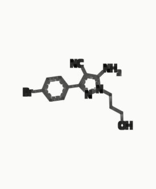 N#Cc1c(-c2ccc(Br)cc2)nn(CCCO)c1N